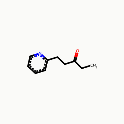 CCC(=O)CCc1ccccn1